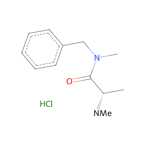 CN[C@@H](C)C(=O)N(C)Cc1ccccc1.Cl